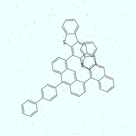 c1ccc(-c2ccc(-c3c4cccc(-c5c6ccccc6cc6c5sc5ccccc56)c4cc4c(-c5c6ccccc6cc6c5sc5ccccc56)cccc34)cc2)cc1